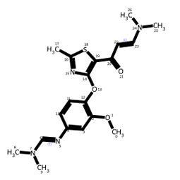 COc1cc(/N=C/N(C)C)ccc1Oc1nc(C)sc1C(=O)/C=C/N(C)C